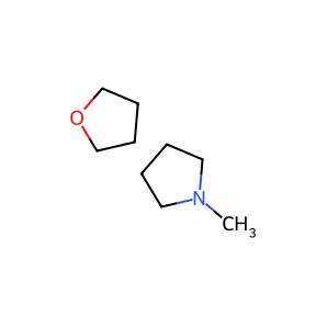 C1CCOC1.CN1CCCC1